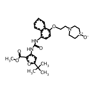 COC(=O)c1oc(C(C)(C)C)cc1NC(=O)Nc1ccc(OCCN2CC[S+]([O-])CC2)c2ccccc12